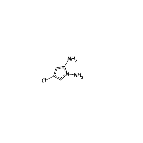 Nc1cc(Cl)cn1N